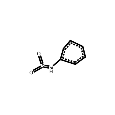 O=S(=O)=[SiH]c1ccccc1